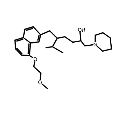 COCCOc1cccc2ccc(CC(C[CH]C(O)CN3CCCCC3)C(C)C)cc12